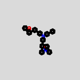 c1ccc(-c2ccc(N(c3ccc(-c4ccc(-c5ccccc5-n5c6ccccc6c6ccccc65)cc4)cc3)c3ccc(-c4cccc(-c5cccc6c5oc5ccccc56)c4)cc3)cc2)cc1